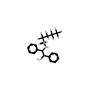 NC(c1ccccc1)C(NS(=O)(=O)C(F)(F)C(F)(F)C(F)(F)C(F)(F)F)c1ccccc1